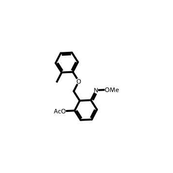 CON=C1C=CC=C(OC(C)=O)C1COc1ccccc1C